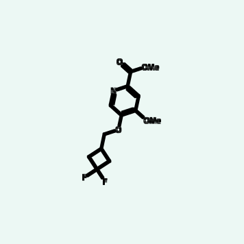 COC(=O)c1cc(OC)c(OCC2CC(F)(F)C2)cn1